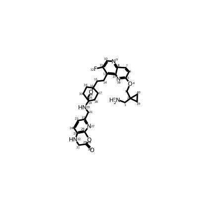 NCC1(COc2ccc3ncc(F)c(CCC45CCC(NCc6ccc7c(n6)OC(=O)CN7)(CC4)CO5)c3n2)CC1